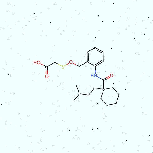 CC(C)CCC1(C(=O)Nc2ccccc2COSCC(=O)O)CCCCC1